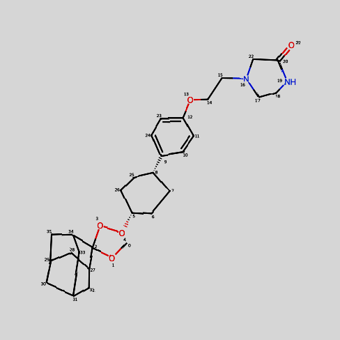 COC1(OO[C@H]2CC[C@@H](c3ccc(OCCN4CCNC(=O)C4)cc3)CC2)C2CC3CC(C2)CC1C3